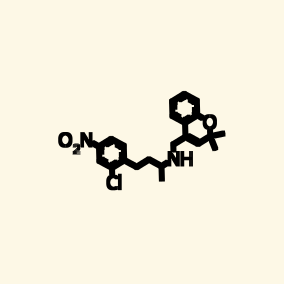 CC(CCc1ccc([N+](=O)[O-])cc1Cl)NCC1=CC(C)(C)Oc2ccccc21